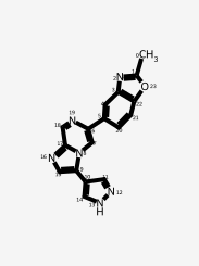 Cc1nc2cc(-c3cn4c(-c5cn[nH]c5)cnc4cn3)ccc2o1